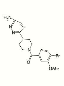 COc1cc(C(=O)N2CCC(c3ccc(N)nn3)CC2)ccc1Br